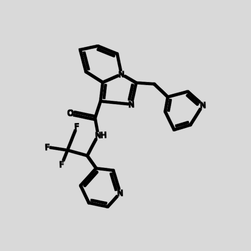 O=C(NC(c1cccnc1)C(F)(F)F)c1nc(Cc2cccnc2)n2ccccc12